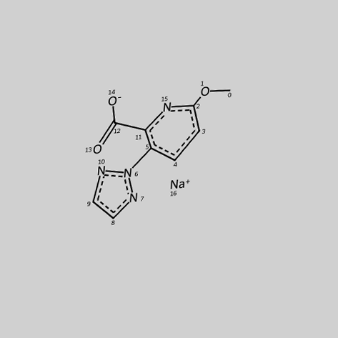 COc1ccc(-n2nccn2)c(C(=O)[O-])n1.[Na+]